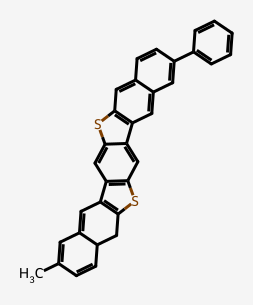 CC1=CC2=Cc3c(sc4cc5c(cc34)sc3cc4ccc(-c6ccccc6)cc4cc35)CC2C=C1